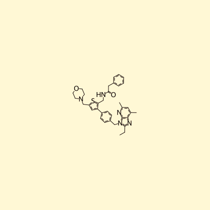 CCc1nc2c(C)cc(C)nc2n1Cc1ccc(-c2cc(CN3CCOCC3)sc2CNC(=O)Cc2ccccc2)cc1